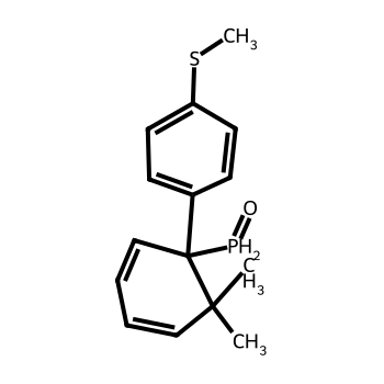 CSc1ccc(C2([PH2]=O)C=CC=CC2(C)C)cc1